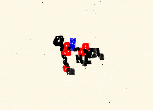 C=C(C)C(=O)OCCNC(=O)OC(COCCCCOCC)c1ccccc1